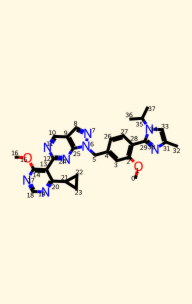 COc1cc(Cn2ncc3cnc(-c4c(OC)ncnc4C4CC4)nc32)ccc1-c1nc(C)cn1C(C)C